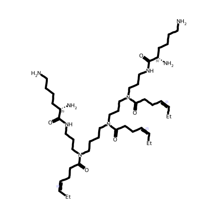 CC/C=C\CCC(=O)N(CCCCN(CCCN(CCCNC(=O)[C@@H](N)CCCCN)C(=O)CC/C=C\CC)C(=O)CC/C=C\CC)CCCNC(=O)[C@@H](N)CCCCN